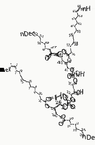 CCCCCC/C=C\CCCCCCCCCC(=O)O[C@H](COC(=O)CCCCCCCCCCCCCCC)COP(=O)(O)OCC(O)COP(=O)(O)OC[C@@H](COC(=O)CCCCCCCCCCCCCCC)OC(=O)CCCCCCCCC/C=C\CCCCCC